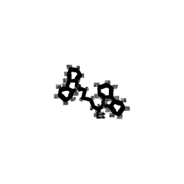 CC[C@@H](CCCCn1c2ccccc2c2ccccc21)n1c2ccccc2c2ccccc21